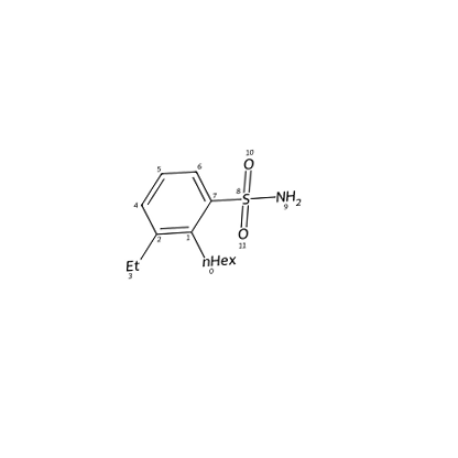 CCCCCCc1c(CC)cccc1S(N)(=O)=O